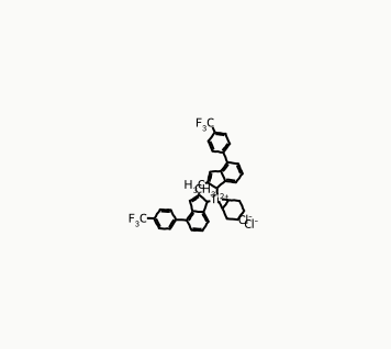 CC1=Cc2c(-c3ccc(C(F)(F)F)cc3)cccc2[CH]1[Ti+2]1([CH]2C(C)=Cc3c(-c4ccc(C(F)(F)F)cc4)cccc32)[CH]2CCCC[CH]21.[Cl-].[Cl-]